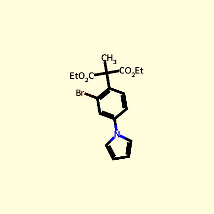 CCOC(=O)C(C)(C(=O)OCC)c1ccc(-n2cccc2)cc1Br